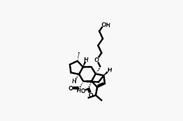 CC(C)C1=C[C@@H]2C[C@@]3(C=O)[C@H]4CC[C@H](C)[C@@H]4C[C@]2(COCCCCO)[C@@]13C(=O)O